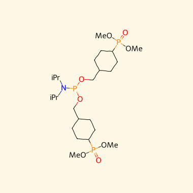 COP(=O)(OC)C1CCC(COP(OCC2CCC(P(=O)(OC)OC)CC2)N(C(C)C)C(C)C)CC1